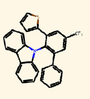 FC(F)(F)c1cc(-c2ccccc2)c(-n2c3ccccc3c3ccccc32)c(-c2cccs2)c1